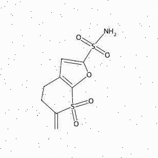 C=C1CCc2cc(S(N)(=O)=O)oc2S1(=O)=O